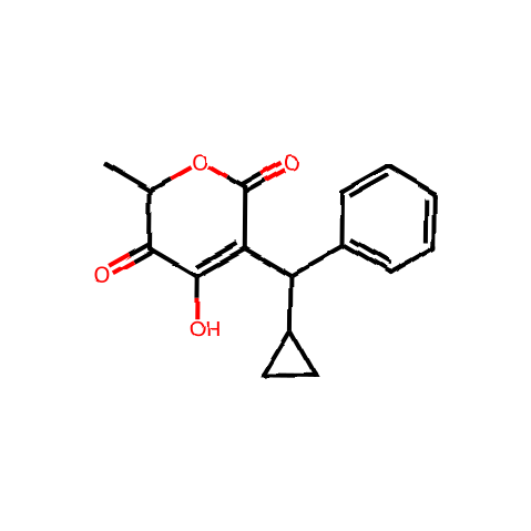 CC1OC(=O)C(C(c2ccccc2)C2CC2)=C(O)C1=O